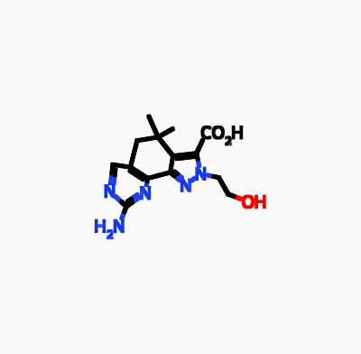 CC1(C)Cc2cnc(N)nc2-c2nn(CCO)c(C(=O)O)c21